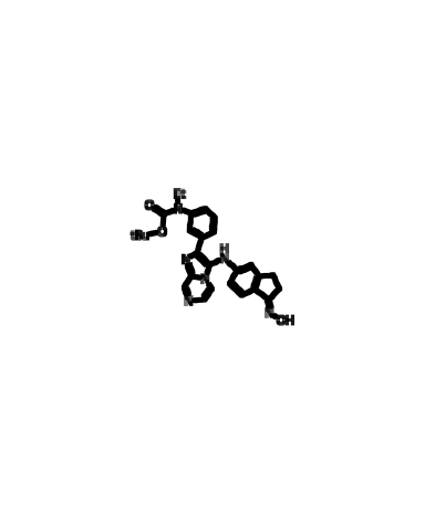 CCN(C(=O)OC(C)(C)C)c1cccc(-c2nc3cnccn3c2Nc2ccc3c(c2)CCC3=NO)c1